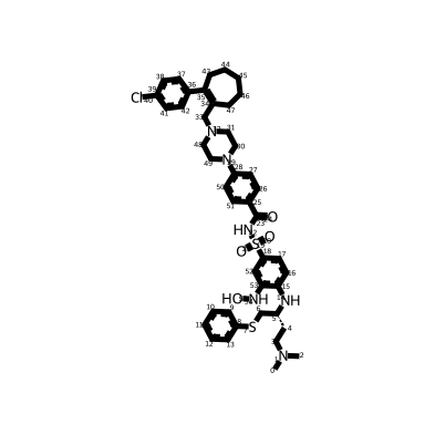 CN(C)CC[C@H](CSc1ccccc1)Nc1ccc(S(=O)(=O)NC(=O)c2ccc(N3CCN(CC4=C(c5ccc(Cl)cc5)CCCCC4)CC3)cc2)cc1NO